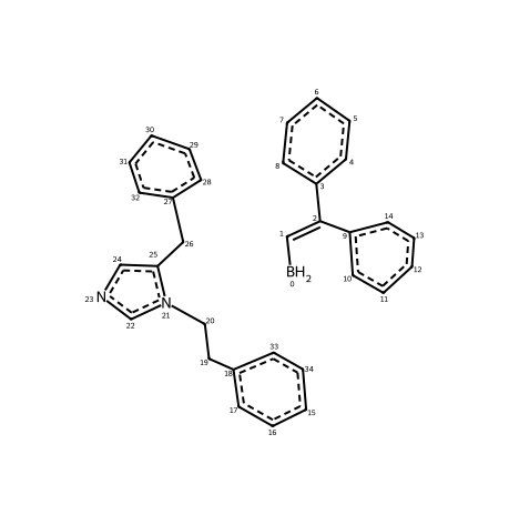 BC=C(c1ccccc1)c1ccccc1.c1ccc(CCn2cncc2Cc2ccccc2)cc1